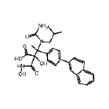 CC(C)CN(C(N)=O)C(C)(c1ccc(-c2ccc3ccccc3c2)cc1)C(O)(C(=O)O)C(=O)NO